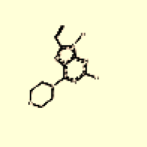 C=Cc1nc2c(N3CCOCC3)nc(Cl)nc2n1CC